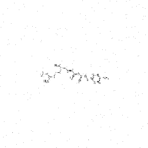 CCC(C)CCCC(C)C/C=C/C(C)=C/C(=O)OCc1ccc(C)cc1